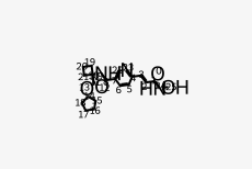 O=C(C=Cc1ccc(CNC2(C(=O)OC3CCCC3)CCC2)cn1)NO